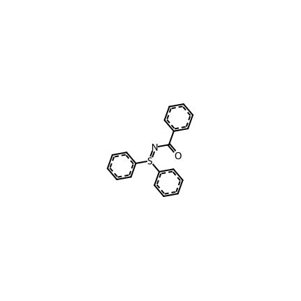 O=C(N=S(c1ccccc1)c1ccccc1)c1ccccc1